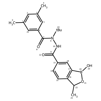 Cc1cc(C)cc(C(=O)N(NC(=O)c2ccc3c(c2)B(O)OC3C)C(C)(C)C)c1